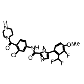 COc1ccc(-c2cnc(C(=O)Nc3ccc(C(=O)N4CCNCC4)c(Cl)c3)n2C)c(C(F)F)c1F